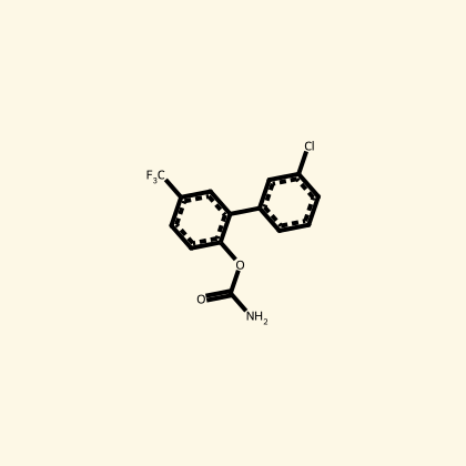 NC(=O)Oc1ccc(C(F)(F)F)cc1-c1cccc(Cl)c1